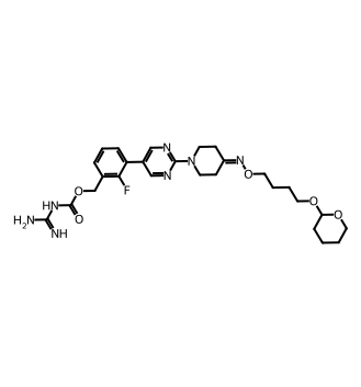 N=C(N)NC(=O)OCc1cccc(-c2cnc(N3CCC(=NOCCCCOC4CCCCO4)CC3)nc2)c1F